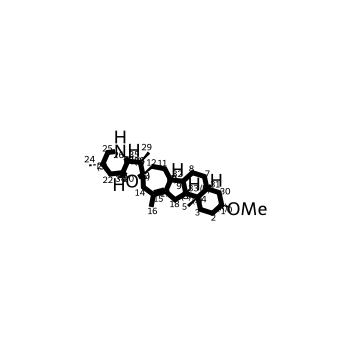 CO[C@@H]1CC[C@@]2(C)[C@H](CCC3[C@@H]4CC[C@@]5(CC(C)=C4C[C@@H]32)O[C@@H]2C[C@H](C)CN[C@H]2[C@H]5C)C1